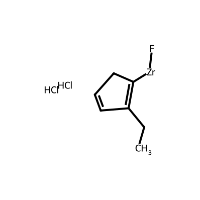 CCC1=[C]([Zr][F])CC=C1.Cl.Cl